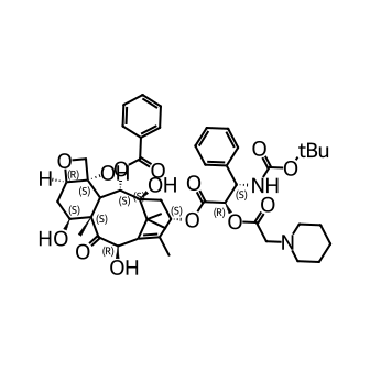 CC1=C2[C@@H](O)C(=O)[C@@]3(C)C([C@H](OC(=O)c4ccccc4)[C@](O)(C[C@@H]1OC(=O)[C@H](OC(=O)CN1CCCCC1)[C@@H](NC(=O)OC(C)(C)C)c1ccccc1)C2(C)C)[C@]1(O)CO[C@@H]1C[C@@H]3O